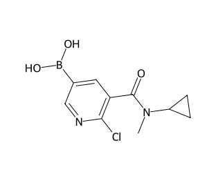 CN(C(=O)c1cc(B(O)O)cnc1Cl)C1CC1